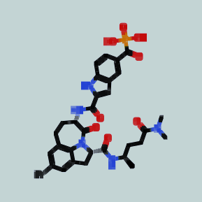 CC(C)c1cc2c3c(c1)C[C@@H](C(=O)N[C@H](C)CCC(=O)N(C)C)N3C(=O)[C@@H](NC(=O)c1cc3cc(C(=O)P(=O)(O)O)ccc3[nH]1)CC2